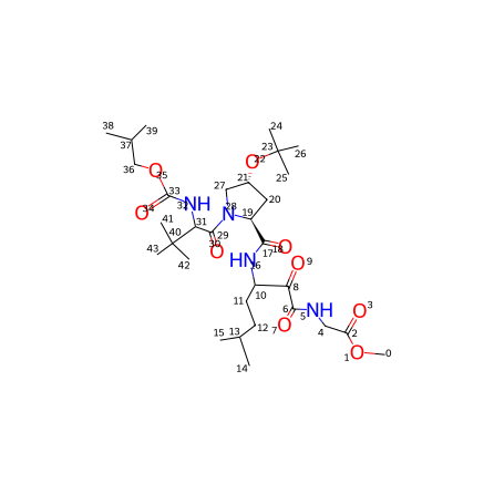 COC(=O)CNC(=O)C(=O)C(CCC(C)C)NC(=O)[C@@H]1C[C@@H](OC(C)(C)C)CN1C(=O)C(NC(=O)OCC(C)C)C(C)(C)C